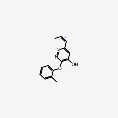 C/C=C\c1cc(O)c(Oc2ccccc2C)nn1